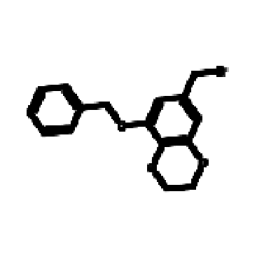 BrCc1cc2c(c(OCc3ccccc3)c1)OCCO2